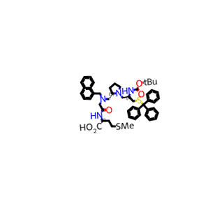 CSCC[C@H](NC(=O)CN(Cc1cccc2ccccc12)C[C@@H]1CCCN1C[C@H](CSC(c1ccccc1)(c1ccccc1)c1ccccc1)NC(=O)OC(C)(C)C)C(=O)O